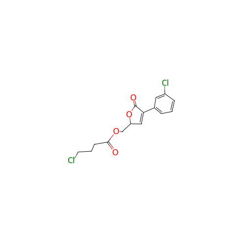 O=C(CCCCl)OCC1C=C(c2cccc(Cl)c2)C(=O)O1